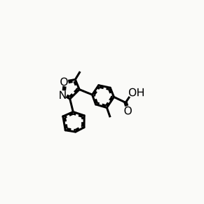 Cc1cc(-c2c(-c3ccccc3)noc2C)ccc1C(=O)O